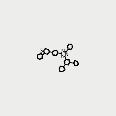 c1ccc(-c2cc(-c3ccccc3)cc(-c3nc(-c4ccccc4)nc(-c4ccc(-c5ccc6sc7ccccc7c6c5)cc4)n3)c2)cc1